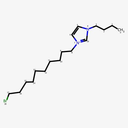 CCCCn1cc[n+](CCCCCCCCCCBr)c1